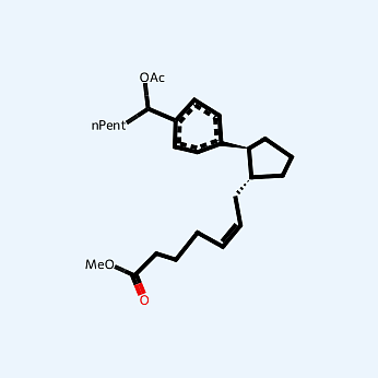 CCCCCC(OC(C)=O)c1ccc([C@H]2[CH]CC[C@@H]2C/C=C\CCCC(=O)OC)cc1